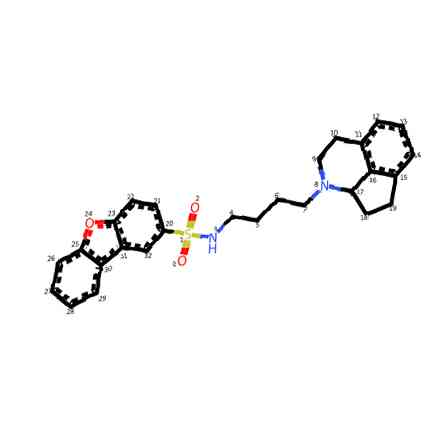 O=S(=O)(NCCCCN1CCc2cccc3c2C1CC3)c1ccc2oc3ccccc3c2c1